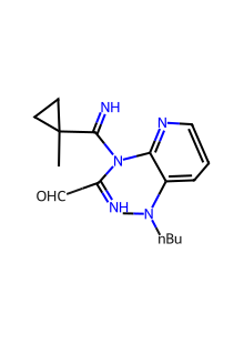 CCCCN(C)c1cccnc1N(C(=N)C=O)C(=N)C1(C)CC1